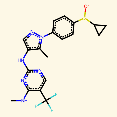 CNc1nc(Nc2cnn(-c3ccc([S+]([O-])C4CC4)cc3)c2C)ncc1C(F)(F)F